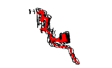 COCCOCCOCCOCCOCCOCCOCCOCCNC(=O)[C@H](CCC(=O)NCC(=O)NCC(=O)N[C@@H](Cc1ccccc1)C(=O)NCC(=O)NCO[C@@H](C)C(=O)NCc1c2c(nc3cc(F)c(C)cc13)-c1cc3c(c(=O)n1C2)COC(=O)[C@]3(O)CC1CC1)NCCCCC#Cc1cnc(S(C)(=O)=O)nc1